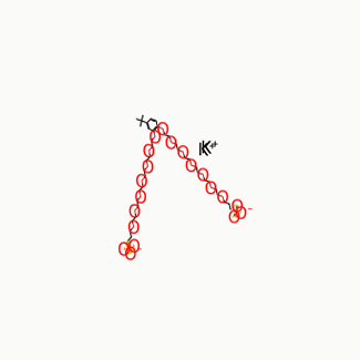 CC(C)(C)c1ccc(OCCOCCOCCOCCOCCOCCOCCCS(=O)(=O)[O-])c(OCCOCCOCCOCCOCCOCCOCCCS(=O)(=O)[O-])c1.[K+].[K+]